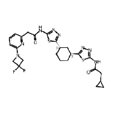 O=C(Cc1cccc(N2CC(F)(F)C2)n1)Nc1nnc([C@H]2CCC[C@H](c3nnc(NC(=O)CC4CC4)s3)C2)s1